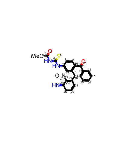 COC(=O)NC(=S)Nc1ccc(C(=O)c2ccccc2)c(CC2=C([N+](=O)[O-])C(=N)CC=C2)c1